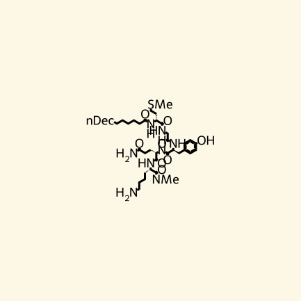 CCCCCCCCCCCCCCCC(=O)N[C@H](CCSC)C(=O)NCC(=O)N[C@@H](Cc1ccc(O)cc1)C(=O)N[C@@H](CCC(N)=O)C(=O)N[C@@H](CCCCN)C(=O)NC